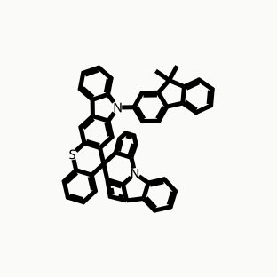 CC1(C)c2ccccc2-c2ccc(-n3c4ccccc4c4cc5c(cc43)C3(c4ccccc4S5)c4ccccc4-n4c5ccccc5c5cccc3c54)cc21